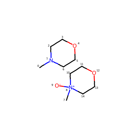 CN1CCOCC1.C[N+]1([O-])CCOCC1